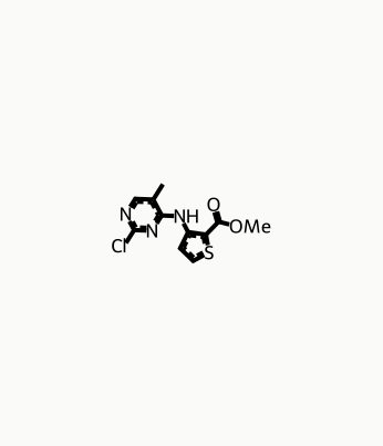 COC(=O)c1sccc1Nc1nc(Cl)ncc1C